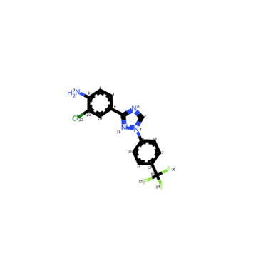 Nc1ccc(-c2ncn(-c3ccc(C(F)(F)F)cc3)n2)cc1Cl